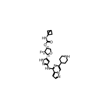 O=C(NC12CC(C1)C2)O[C@@H]1CO[C@H](c2cc(Nc3nc(C4CCNCC4)cn4nccc34)n[nH]2)[C@H]1F